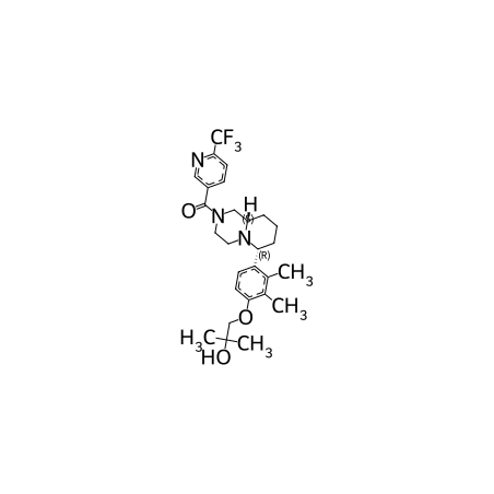 Cc1c(OCC(C)(C)O)ccc([C@H]2CCC[C@H]3CN(C(=O)c4ccc(C(F)(F)F)nc4)CCN32)c1C